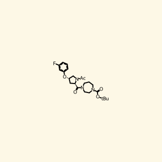 CC(=O)N1C[C@@H](Oc2cccc(F)c2)C[C@@H]1C(=O)N1CCCN(C(=O)OC(C)(C)C)CC1